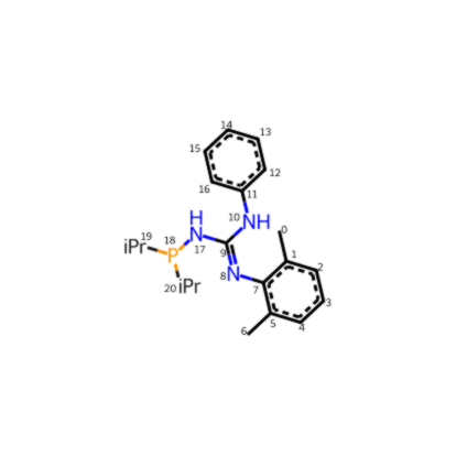 Cc1cccc(C)c1/N=C(\Nc1ccccc1)NP(C(C)C)C(C)C